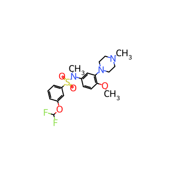 COc1ccc(N(C)S(=O)(=O)c2cccc(OC(F)F)c2)cc1N1CCN(C)CC1